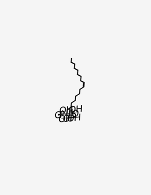 CCCCCCCC/C=C\CCCCCCCC(O)(P(=O)(O)O)P(=O)(O)O